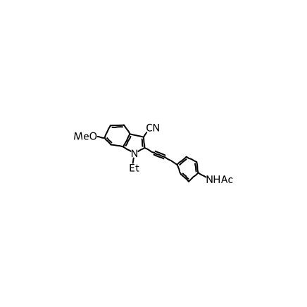 CCn1c(C#Cc2ccc(NC(C)=O)cc2)c(C#N)c2ccc(OC)cc21